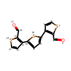 O=Cc1sccc1-c1ccc(-c2ccsc2C=O)s1